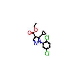 CCOC(=O)c1cnn(-c2cc(Cl)ccc2Cl)c1C1CC1